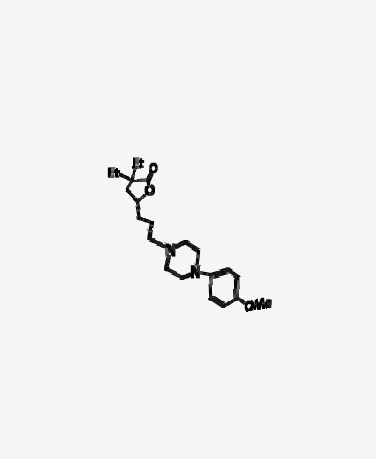 CCC1(CC)CC(CCCN2CCN(c3ccc(OC)cc3)CC2)OC1=O